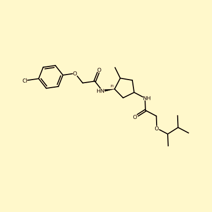 CC(C)C(C)OCC(=O)NC1CC(C)[C@H](NC(=O)COc2ccc(Cl)cc2)C1